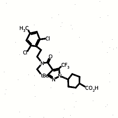 Cc1cc(Cl)c(CCN(CC(C)(C)C)C(=O)c2cnn(C3CCC(C(=O)O)CC3)c2C(F)(F)F)c(Cl)c1